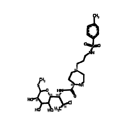 CSC1O[C@H]([C@H](NC(=O)[C@@H]2CC[C@H](CCCNS(=O)(=O)c3ccc(C)cc3)CCN2)[C@H](C)Cl)C(O)C(O)[C@H]1O